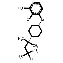 Cc1nccc(N[C@H]2CC[C@@H](C(C)(C)CC(C)(C)C)CC2)c1Cl